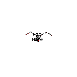 CCCCCCCC/C=C\CCCCCCCC(=O)OC(C)(CN)C(C)(OC(=O)CCCCCCC/C=C\CCCCCCCC)C(C)(C)N(CCO)CCO.I.I